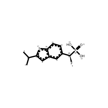 CC(C)c1cc2cc([C@H](F)P(=O)(O)O)ccc2s1